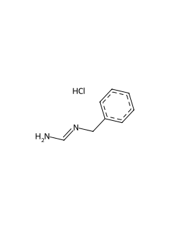 Cl.NC=NCc1ccccc1